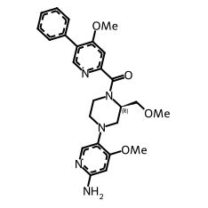 COC[C@H]1CN(c2cnc(N)cc2OC)CCN1C(=O)c1cc(OC)c(-c2ccccc2)cn1